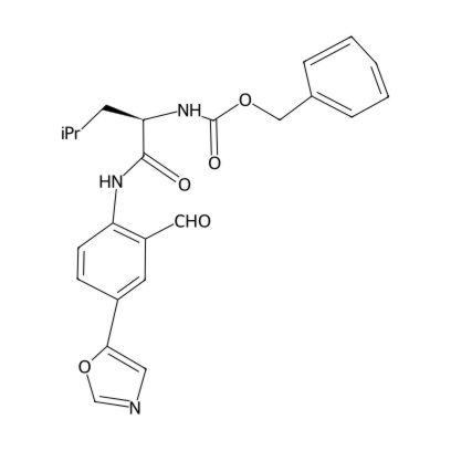 CC(C)C[C@@H](NC(=O)OCc1ccccc1)C(=O)Nc1ccc(-c2cnco2)cc1C=O